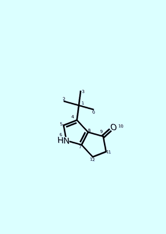 CC(C)(C)c1c[nH]c2c1C(=O)CC2